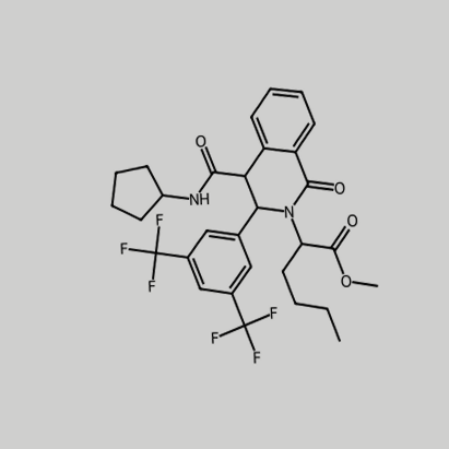 CCCCC(C(=O)OC)N1C(=O)c2ccccc2C(C(=O)NC2CCCC2)C1c1cc(C(F)(F)F)cc(C(F)(F)F)c1